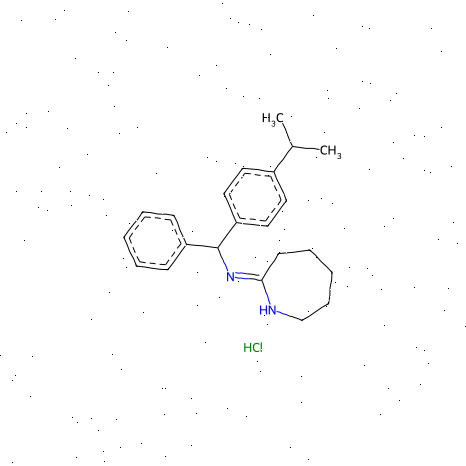 CC(C)c1ccc(C(N=C2CCCCCN2)c2ccccc2)cc1.Cl